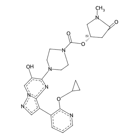 CN1C[C@@H](OC(=O)N2CCN(c3nc4c(-c5cccnc5OC5CC5)cnn4cc3O)CC2)CC1=O